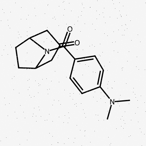 CN(C)c1ccc(C(=O)N2C3CCC2CC(=O)C3)cc1